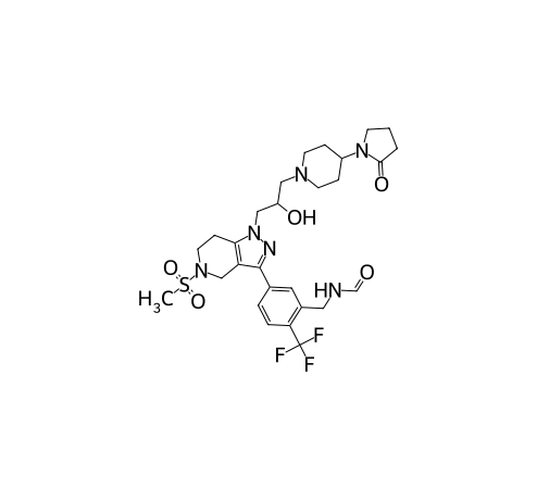 CS(=O)(=O)N1CCc2c(c(-c3ccc(C(F)(F)F)c(CNC=O)c3)nn2CC(O)CN2CCC(N3CCCC3=O)CC2)C1